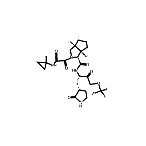 CC1(NC(=O)C(=O)N2C[C@@H]3CCC[C@@H]3[C@H]2C(=O)N[C@@H](C[C@@H]2CCNC2=O)C(=O)COC(F)(F)F)CC1